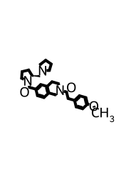 COc1ccc(CC(=O)N2CCc3cc(C(=O)N4CCC[C@H]4CN4CCCC4)ccc3C2)cc1